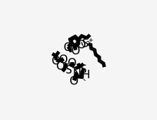 CC(C)OC(=O)OC(C)(C)SC(=O)[C@@H]1N2C(=O)[C@@H](C)[C@H]2SC1(C)C.CCCCCCCC[S+]([O-])C(C)Cc1ccc2c(c1)OCO2